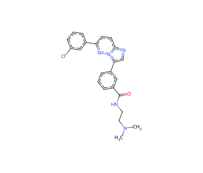 CN(C)CCNC(=O)c1cccc(-c2cnc3ccc(-c4cccc(Cl)c4)nn23)c1